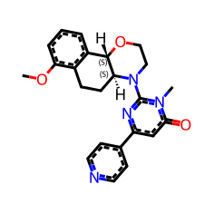 COc1cccc2c1CC[C@H]1[C@H]2OCCN1c1nc(-c2ccncc2)cc(=O)n1C